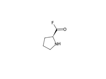 O=C(F)[C@@H]1CCCN1